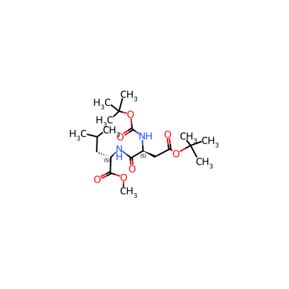 COC(=O)[C@H](CC(C)C)NC(=O)[C@H](CC(=O)OC(C)(C)C)NC(=O)OC(C)(C)C